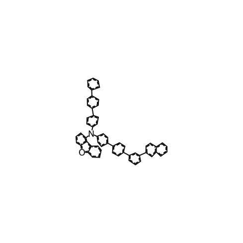 c1ccc(-c2ccc(-c3ccc(N(c4ccc(-c5ccc(-c6cccc(-c7ccc8ccccc8c7)c6)cc5)cc4)c4cccc5oc6ccccc6c45)cc3)cc2)cc1